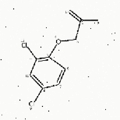 C=C(C)COc1ccc(Cl)cc1Cl